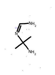 CC(C)(N)/N=C\N